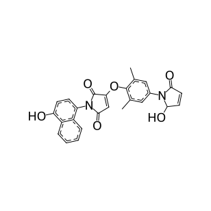 Cc1cc(N2C(=O)C=CC2O)cc(C)c1OC1=CC(=O)N(c2ccc(O)c3ccccc23)C1=O